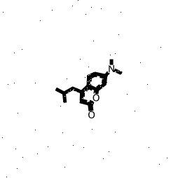 CC(C)Cc1cc(=O)oc2cc(N(C)C)ccc12